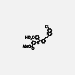 COC(=O)c1cccc(SC(c2cccc(C=Cc3ccc4ccc(Cl)cc4n3)c2)c2cccc(C(=O)O)c2)c1